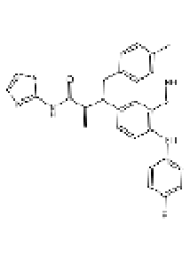 C=C(C(=O)Nc1nccs1)C(Cc1ccc(C)cc1)c1ccc(Nc2ccc(F)cc2)c(C=N)c1